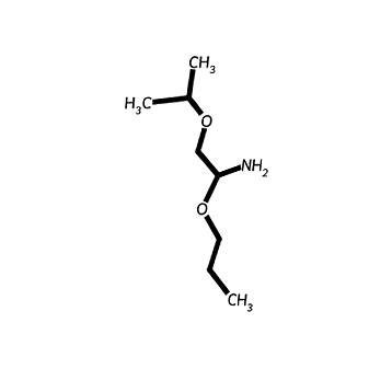 CCCOC(N)COC(C)C